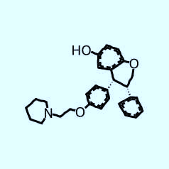 Oc1ccc2c(c1)[C@@H](c1ccc(OCCN3CCCCC3)cc1)[C@@H](c1ccccc1)CO2